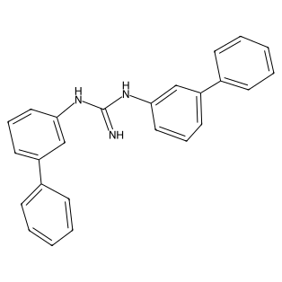 N=C(Nc1cccc(-c2ccccc2)c1)Nc1cccc(-c2ccccc2)c1